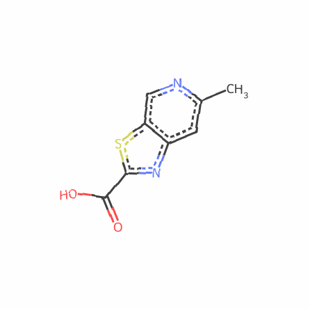 Cc1cc2nc(C(=O)O)sc2cn1